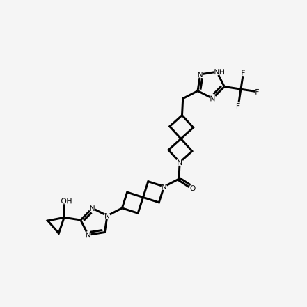 O=C(N1CC2(CC(Cc3n[nH]c(C(F)(F)F)n3)C2)C1)N1CC2(CC(n3cnc(C4(O)CC4)n3)C2)C1